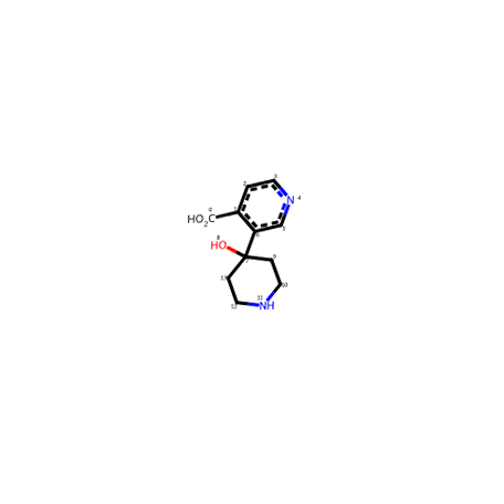 O=C(O)c1ccncc1C1(O)CCNCC1